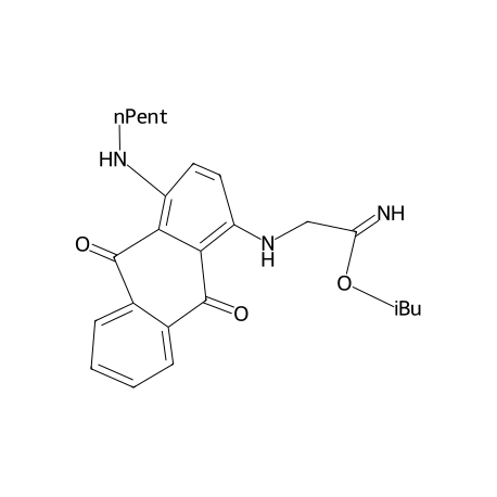 CCCCCNc1ccc(NCC(=N)OC(C)CC)c2c1C(=O)c1ccccc1C2=O